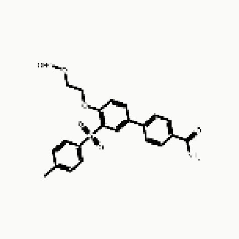 Cc1ccc(S(=O)(=O)c2cc(-c3ccc(C(N)=O)cc3)ccc2OCCOC=O)cc1